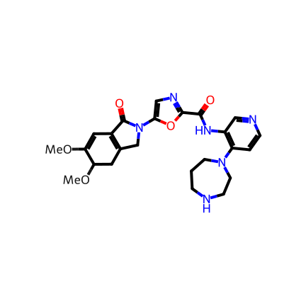 COC1=CC2=C(CC1OC)CN(c1cnc(C(=O)Nc3cnccc3N3CCCNCC3)o1)C2=O